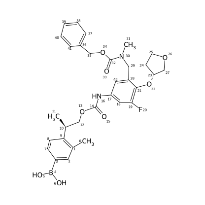 Cc1cc(B(O)O)ccc1[C@@H](C)COC(=O)Nc1cc(F)c(O[C@@H]2CCOC2)c(CN(C)C(=O)OCc2ccccc2)c1